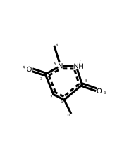 Cc1cc(=O)n(C)[nH]c1=O